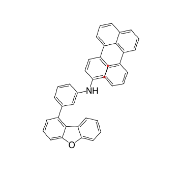 c1ccc(-c2cccc3cccc(-c4ccc(Nc5cccc(-c6cccc7oc8ccccc8c67)c5)cc4)c23)cc1